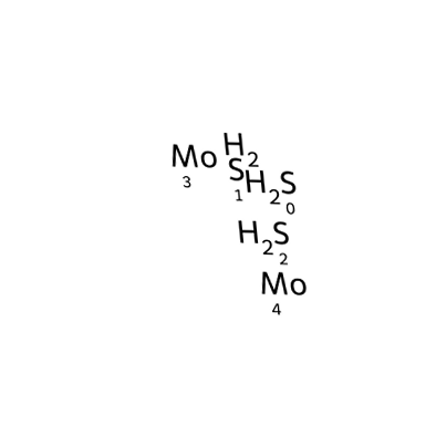 S.S.S.[Mo].[Mo]